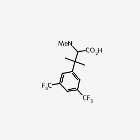 CNC(C(=O)O)C(C)(C)c1cc(C(F)(F)F)cc(C(F)(F)F)c1